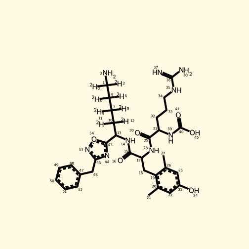 [2H]C([2H])(N)C([2H])([2H])C([2H])([2H])C([2H])([2H])C(NC(=O)C(Cc1c(C)cc(O)cc1C)NC(=O)C(CCCNC(=N)N)NC(=O)O)c1nc(Cc2ccccc2)no1